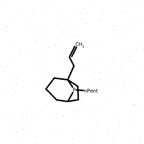 C=CCC12CCCC(CC1)P2CCCCC